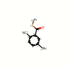 CCC(C)c1ccc(C#N)c(C(=O)SC(C)C)c1